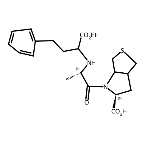 CCOC(=O)C(CCc1ccccc1)N[C@@H](C)C(=O)N1C2CSCC2C[C@H]1C(=O)O